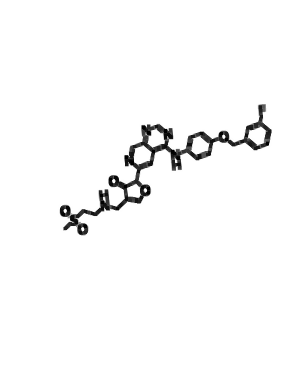 CS(=O)(=O)CCNCC1=COC(c2cc3c(Nc4ccc(OCc5cccc(F)c5)cc4)ncnc3cn2)C1=O